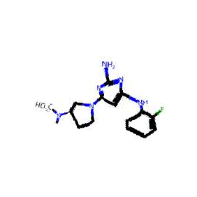 CN(C(=O)O)[C@@H]1CCN(c2cc(Nc3ccccc3F)nc(N)n2)C1